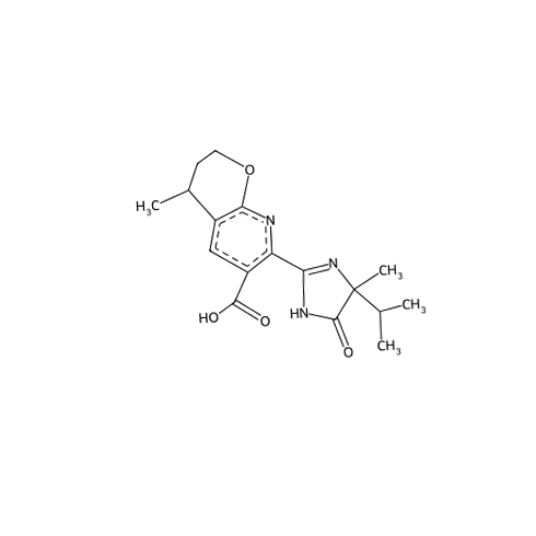 CC1CCOc2nc(C3=NC(C)(C(C)C)C(=O)N3)c(C(=O)O)cc21